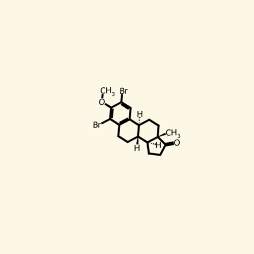 COc1c(Br)cc2c(c1Br)CC[C@@H]1[C@@H]2CC[C@]2(C)C(=O)CC[C@@H]12